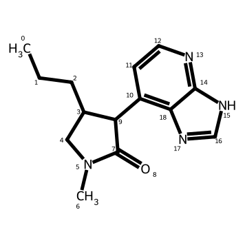 CCCC1CN(C)C(=O)C1c1ccnc2[nH]cnc12